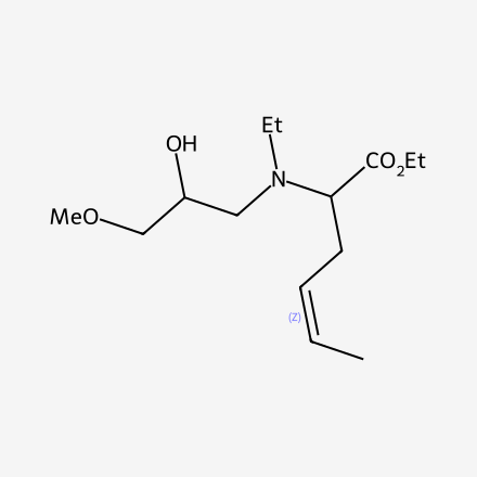 C/C=C\CC(C(=O)OCC)N(CC)CC(O)COC